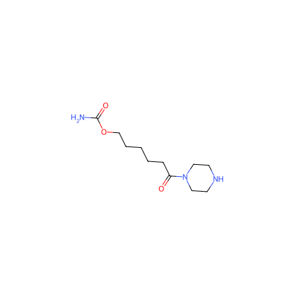 NC(=O)OCCCCCC(=O)N1CCNCC1